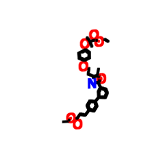 CCOC(=O)C=Cc1ccc(-c2cccc(-c3nc(CCOc4ccc(OC(C)(C)C(=O)OCC)cc4)c(C)o3)c2)cc1